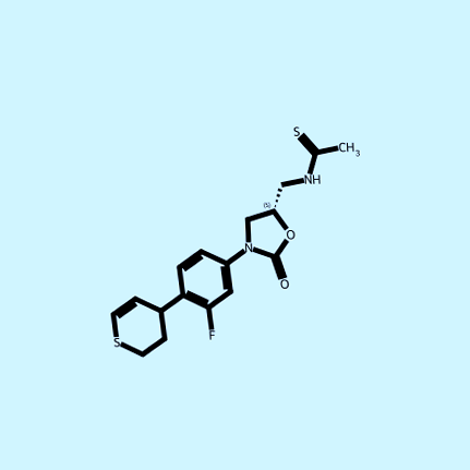 CC(=S)NC[C@H]1CN(c2ccc(C3C=CSCC3)c(F)c2)C(=O)O1